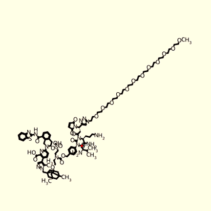 COCCOCCOCCOCCOCCOCCOCCOCCOCCOCCOCCOCCn1cc([C@H](CC(=O)N(C(=O)N(C(=O)[C@@H](N)C(C)C)c2ccc(COC(=O)N(CCOC34CC5(C)CC(C)(CC(Cn6ncc(-c7ccc(N8CCc9cccc(C(=O)Nc%10nc%11ccccc%11s%10)c9C8)nc7C(=O)O)c6C)(C5)C3)C4)CCS(=O)(=O)O)cc2)[C@@H](CCCN)C(N)=O)N2C(=O)C=CC2=O)nn1